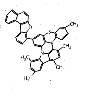 Cc1ccc2c(c1)Sc1cc(-c3cccc4c3oc3ccc5ccccc5c34)cc3c1B2c1c(C)cc(C)c2c4cc(C)cc(C)c4n-3c12